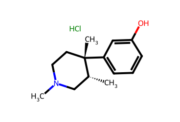 C[C@@H]1CN(C)CC[C@]1(C)c1cccc(O)c1.Cl